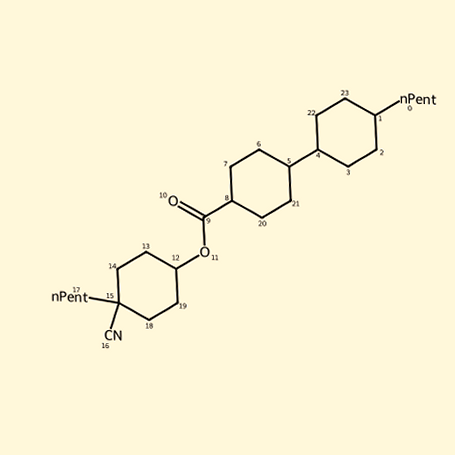 CCCCCC1CCC(C2CCC(C(=O)OC3CCC(C#N)(CCCCC)CC3)CC2)CC1